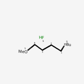 CCCCCCCCOC.F